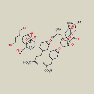 C=C(CC1CCC2OC2C1)C(=O)O.C=C(CCC1CCC2OC2C1)C(=O)O.CCC1(C23CCC(C4CO4)CC2O3)CCCC23OC21O3.CCCCC(CC)COC(=O)C12CCCC(CC3CO3)(CC3CO3)C1(C(=O)OCC(CC)CCCC)O2.OCCCCO